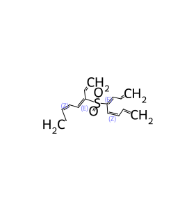 C=C/C=C\C=C(/C=C)S(=O)(=O)C(/C=C\C=C)=C/C=C